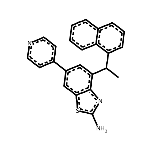 CC(c1cccc2ccccc12)c1cc(-c2ccncc2)cc2sc(N)nc12